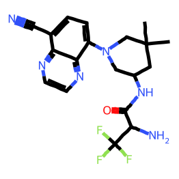 CC1(C)CC(NC(=O)C(N)C(F)(F)F)CN(c2ccc(C#N)c3nccnc23)C1